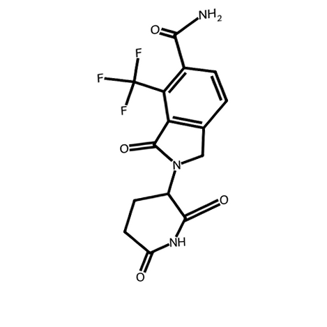 NC(=O)c1ccc2c(c1C(F)(F)F)C(=O)N(C1CCC(=O)NC1=O)C2